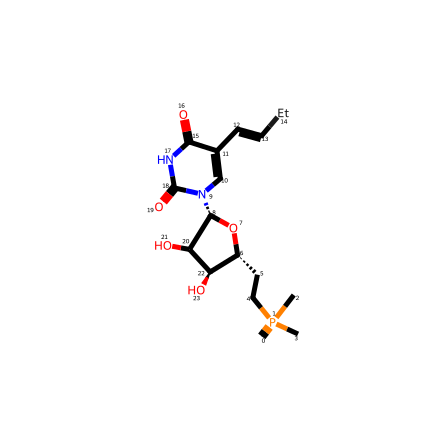 C=P(C)(C)CC[C@H]1O[C@@H](n2cc(/C=C/CC)c(=O)[nH]c2=O)C(O)[C@@H]1O